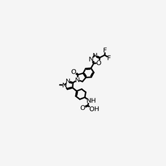 Cn1cc(C2=CCC(NC(=O)O)CC2)c(N2Cc3ccc(-c4nnc(C(F)F)o4)cc3C2=O)n1